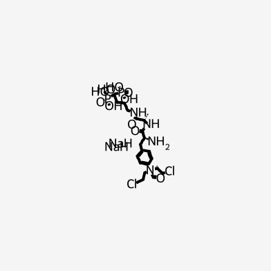 C[C@H](NC(=O)[C@@H](N)Cc1ccc([N+](C=O)(CCCl)CCCl)cc1)C(=O)NCCCC(O)(P(=O)(O)O)P(=O)(O)O.[NaH].[NaH]